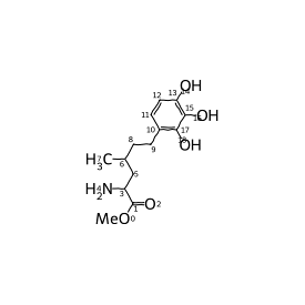 COC(=O)C(N)CC(C)CCc1ccc(O)c(O)c1O